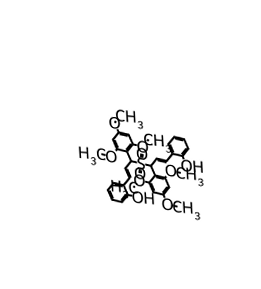 COc1cc(OC)c(C(C=Cc2ccccc2O)S(=O)(=O)C(C=Cc2ccccc2O)c2c(OC)cc(OC)cc2OC)c(OC)c1